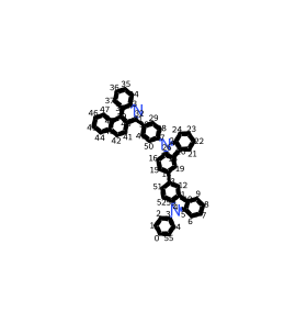 c1ccc(-n2c3ccccc3c3cc(-c4ccc5c(c4)c4ccccc4n5-c4ccc(-c5nc6ccccc6c6c5ccc5ccccc56)cc4)ccc32)cc1